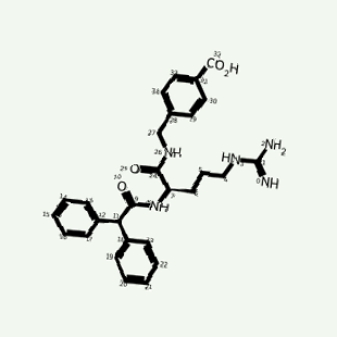 N=C(N)NCCC[C@@H](NC(=O)C(c1ccccc1)c1ccccc1)C(=O)NCc1ccc(C(=O)O)cc1